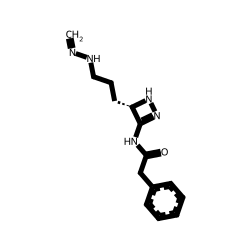 C=NNCCC[C@@H]1NN=C1NC(=O)Cc1ccccc1